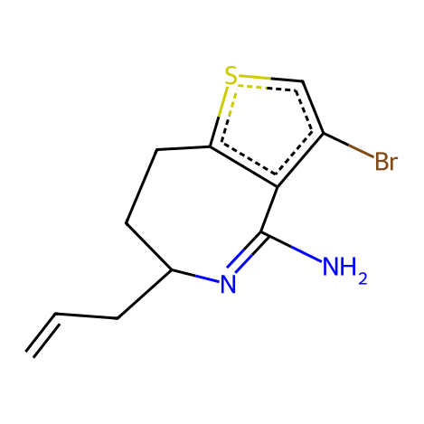 C=CCC1CCc2scc(Br)c2C(N)=N1